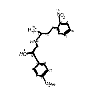 COc1ccc(C(O)CNC(C)CCc2ccccc2[N+](=O)[O-])cc1